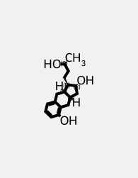 C[C@H](O)CC[C@@H]1[C@H]2Cc3cccc(O)c3C[C@H]2C[C@H]1O